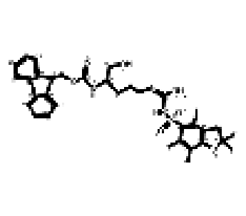 Cc1c(C)c(S(=O)(=O)NC(N)=NCCCC(CO)NC(=O)OCC2c3ccccc3-c3ccccc32)c(C)c2c1OC(C)(C)C2